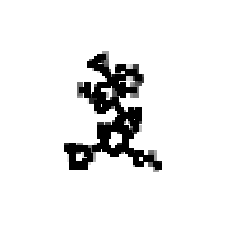 Cc1cc(-n2ccnc2)nc2c(C(=O)NC(C)(C)C3CC3)ncn12